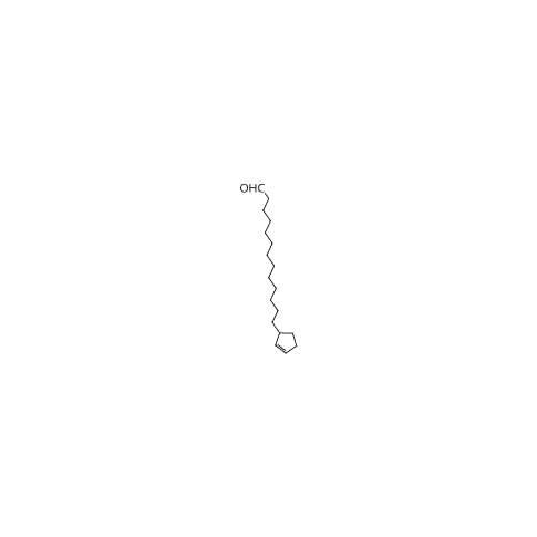 O=CCCCCCCCCCCCCC1C=CCC1